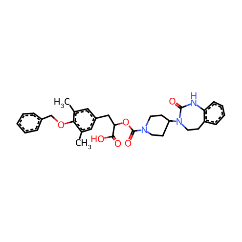 Cc1cc(CC(OC(=O)N2CCC(N3CCc4ccccc4NC3=O)CC2)C(=O)O)cc(C)c1OCc1ccccc1